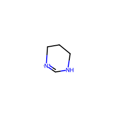 C1=[N+]CCCN1